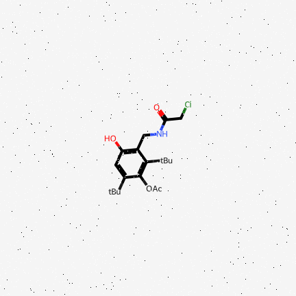 CC(=O)Oc1c(C(C)(C)C)cc(O)c(CNC(=O)CCl)c1C(C)(C)C